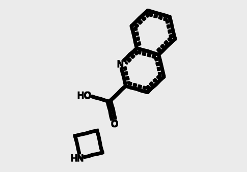 C1CNC1.O=C(O)c1ccc2ccccc2n1